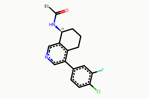 CCC(=O)N[C@H]1CCCc2c(-c3ccc(Cl)c(F)c3)cncc21